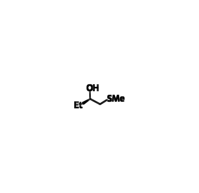 CC[C@@H](O)CSC